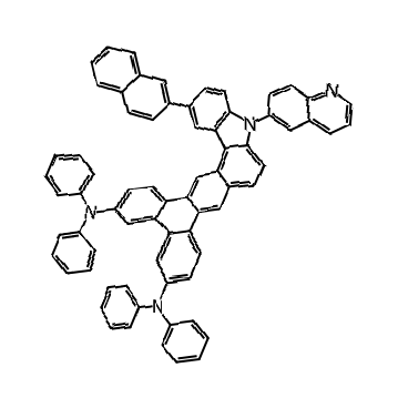 c1ccc(N(c2ccccc2)c2ccc3c(c2)c2cc(N(c4ccccc4)c4ccccc4)ccc2c2cc4c(ccc5c4c4cc(-c6ccc7ccccc7c6)ccc4n5-c4ccc5ncccc5c4)cc32)cc1